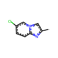 [CH2]c1cn2cc(Cl)ccc2n1